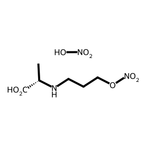 C[C@H](NCCCO[N+](=O)[O-])C(=O)O.O=[N+]([O-])O